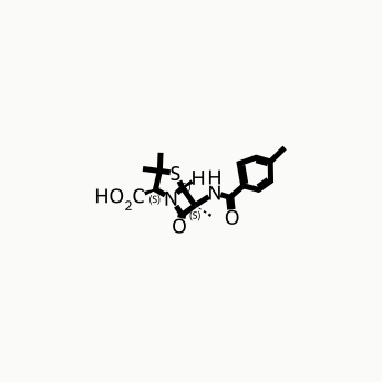 Cc1ccc(C(=O)N[C@@]2(C)C(=O)N3[C@@H](C(=O)O)C(C)(C)S[C@@H]32)cc1